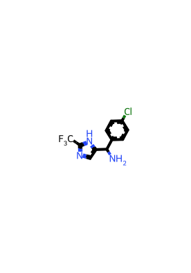 NC(c1ccc(Cl)cc1)c1cnc(C(F)(F)F)[nH]1